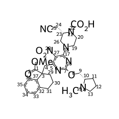 COC(=O)C1(Cc2nc(OC[C@@H]3CCCN3C)nc(N3CCN(C(=O)O)[C@@H](CC#N)C3)c2[N+](=O)[O-])CCCc2ccccc21